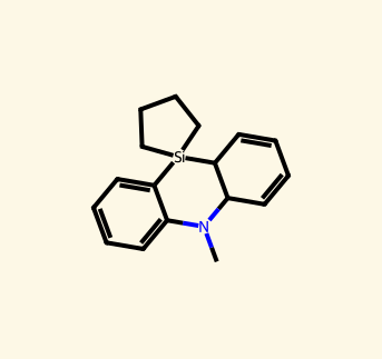 CN1c2ccccc2[Si]2(CCCC2)C2C=CC=CC21